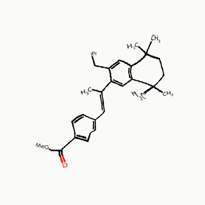 COC(=O)c1ccc(/C=C(\C)c2cc3c(cc2CC(C)C)C(C)(C)CCC3(C)C)cc1